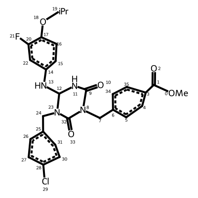 COC(=O)c1ccc(CN2C(=O)NC(Nc3ccc(OC(C)C)c(F)c3)N(Cc3ccc(Cl)cc3)C2=O)cc1